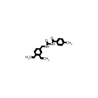 C=Cc1ccc(CNC(=O)NC(=O)c2ccc(C)cc2)cc1C=C